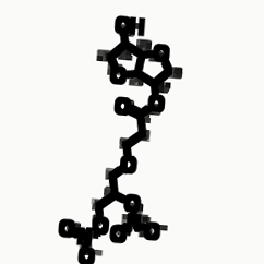 O=C(CCOCC(CO[N+](=O)[O-])O[N+](=O)[O-])OC1COC2C(O)COC12